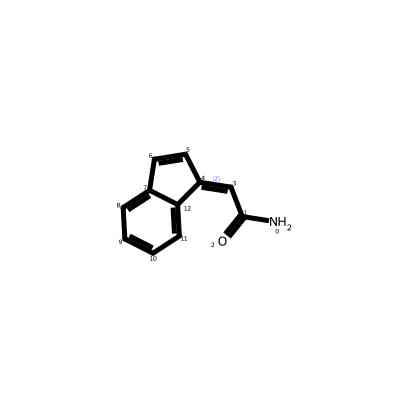 NC(=O)/C=C1/C=Cc2ccccc21